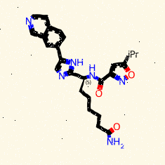 CC(C)c1cc(C(=O)N[C@@H](CCCCCC(N)=O)c2ncc(-c3ccc4ccncc4c3)[nH]2)no1